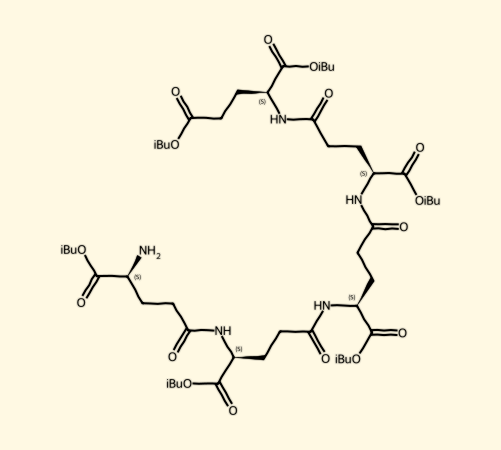 CC(C)COC(=O)CC[C@H](NC(=O)CC[C@H](NC(=O)CC[C@H](NC(=O)CC[C@H](NC(=O)CC[C@H](N)C(=O)OCC(C)C)C(=O)OCC(C)C)C(=O)OCC(C)C)C(=O)OCC(C)C)C(=O)OCC(C)C